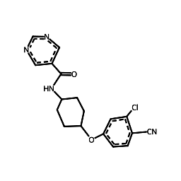 N#Cc1ccc(OC2CCC(NC(=O)c3cncnc3)CC2)cc1Cl